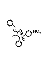 O=C(OCc1ccccc1)C(=O)C(c1ccccc1)S(=O)(=O)c1ccc([N+](=O)[O-])cc1